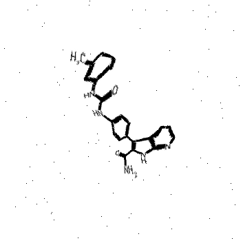 Cc1cccc(NC(=O)Nc2ccc(-c3c(C(N)=O)[nH]c4ncccc34)cc2)c1